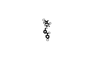 Cc1c(Cl)n(C)c2nc(SCc3cccc(C(=O)c4ccc(Cl)cc4)c3)n(C)c(=O)c12